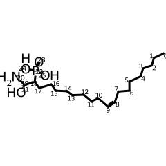 CCCCCCCC/C=C\CCCCCCCCC(C(N)O)P(=O)(O)O